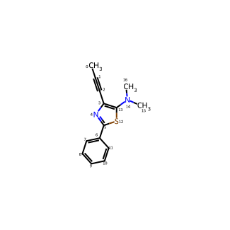 CC#Cc1nc(-c2ccccc2)sc1N(C)C